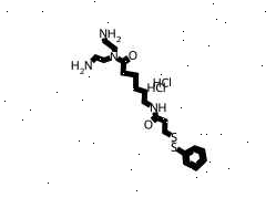 Cl.Cl.NCCN(CCN)C(=O)CCCCCNC(=O)CCSSc1ccccc1